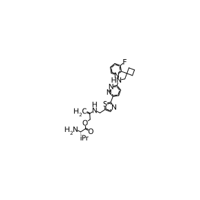 C=C(COC(=O)[C@@H](N)C(C)C)NCc1cnc(-c2ccc(NCC3(c4ncccc4F)CCC3)nn2)s1